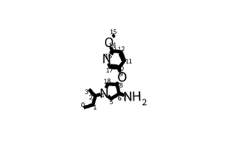 CCC(C)N1CC(N)C(Oc2ccc(OC)nc2)C1